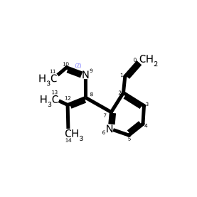 C=Cc1cccnc1C(/N=C\C)=C(C)C